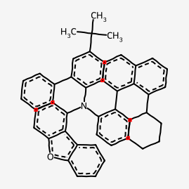 CC(C)(C)c1ccc(N(c2ccccc2-c2cccc3cccc(C4CCCCC4)c23)c2cccc3oc4ccccc4c23)c(-c2ccccc2)c1